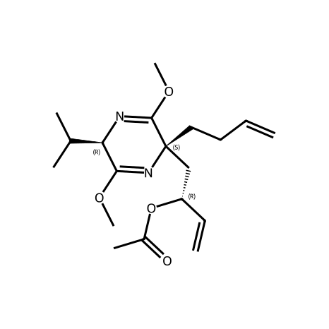 C=CCC[C@@]1(C[C@H](C=C)OC(C)=O)N=C(OC)[C@@H](C(C)C)N=C1OC